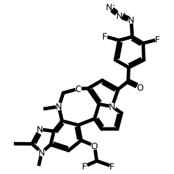 Cc1nc2c3c(c(OC(F)F)cc2n1C)-c1cccn2c(C(=O)c4cc(F)c(N=[N+]=[N-])c(F)c4)cc(c12)CCN3C